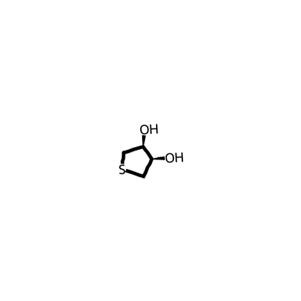 O[C@@H]1CSC[C@@H]1O